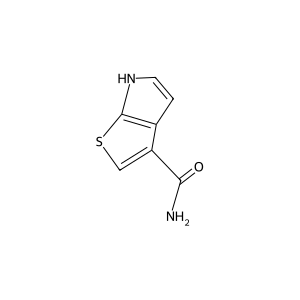 NC(=O)c1csc2[nH]ccc12